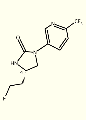 O=C1N[C@@H](CCF)CN1c1ccc(C(F)(F)F)nc1